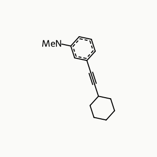 CNc1cccc(C#CC2CCCCC2)c1